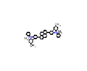 CC1CCC2(C)C(C1)c1cc(-c3ccc4ccc5c(-c6ccc7c(c6)C6CC(C)CCC6(C)N7c6ccccc6)ccc6ccc3c4c65)ccc1N2c1ccccc1